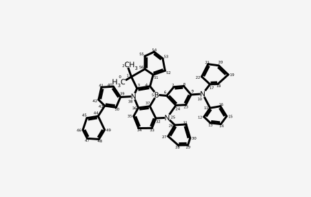 CC1(C)C2=C(B3c4ccc(N(c5ccccc5)c5ccccc5)cc4N(c4ccccc4)c4cccc(c43)N2c2cccc(-c3ccccc3)c2)c2ccccc21